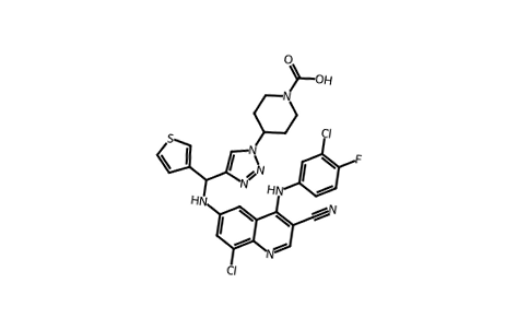 N#Cc1cnc2c(Cl)cc(NC(c3ccsc3)c3cn(C4CCN(C(=O)O)CC4)nn3)cc2c1Nc1ccc(F)c(Cl)c1